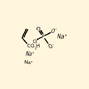 C=CC(=O)O.O=P([O-])([O-])[O-].[Na+].[Na+].[Na+]